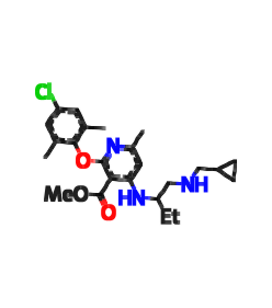 CCC(CNCC1CC1)Nc1cc(C)nc(Oc2c(C)cc(Cl)cc2C)c1C(=O)OC